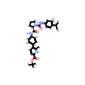 Cc1nc(C(=O)OC(C)(C)C)ccc1-c1ccc(NC(=O)[C@H]2CCCN2C(=O)Nc2ccc(C(C)C)c(F)c2)cc1